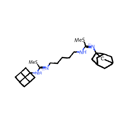 CS/C(=N\CCCCCN/C(=N\C12CC3CC(CC1C3)C2)SC)NC12CC3CC4CC(C1)C432